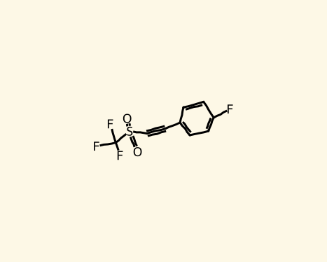 O=S(=O)(C#Cc1ccc(F)cc1)C(F)(F)F